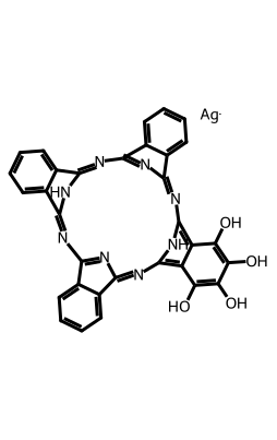 Oc1c(O)c(O)c2c3nc4nc(nc5[nH]c(nc6nc(nc([nH]3)c2c1O)-c1ccccc1-6)c1ccccc51)-c1ccccc1-4.[Ag]